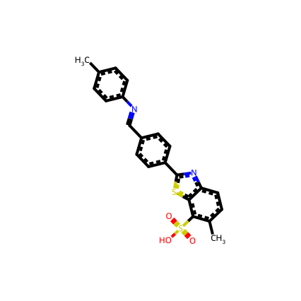 Cc1ccc(N=Cc2ccc(-c3nc4ccc(C)c(S(=O)(=O)O)c4s3)cc2)cc1